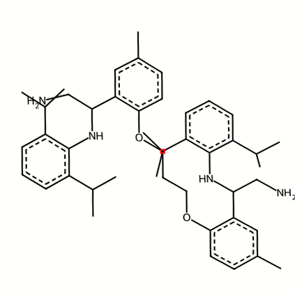 Cc1ccc(OCCCOc2ccc(C)cc2C(CN)Nc2c(C(C)C)cccc2C(C)C)c(C(CN)Nc2c(C(C)C)cccc2C(C)C)c1